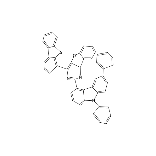 c1ccc(-c2ccc3c(c2)c2c(-c4nc(-c5cccc6c5sc5ccccc56)c5oc6ccccc6c5n4)cccc2n3-c2ccccc2)cc1